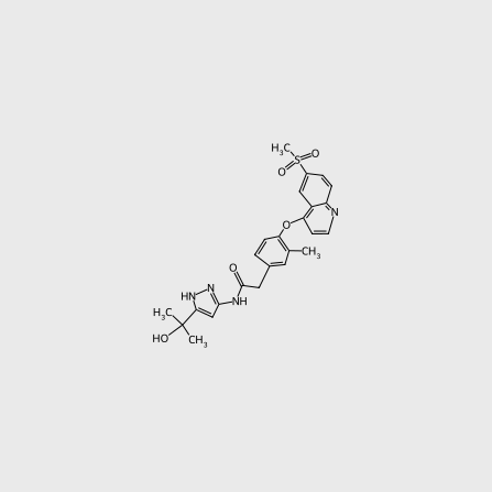 Cc1cc(CC(=O)Nc2cc(C(C)(C)O)[nH]n2)ccc1Oc1ccnc2ccc(S(C)(=O)=O)cc12